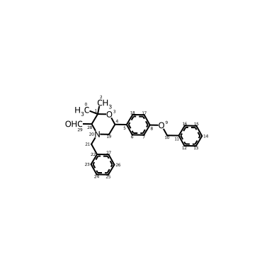 CC1(C)OC(c2ccc(OCc3ccccc3)cc2)CN(Cc2ccccc2)C1C=O